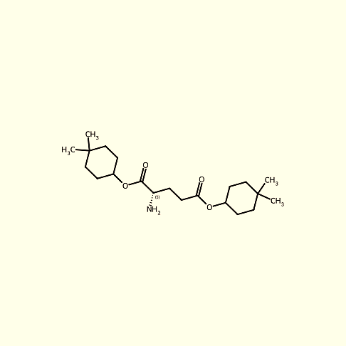 CC1(C)CCC(OC(=O)CC[C@H](N)C(=O)OC2CCC(C)(C)CC2)CC1